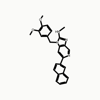 CNc1nc2cnc(-c3ccc4ccccc4c3)cc2n1Cc1ccc(OC)c(OC)c1